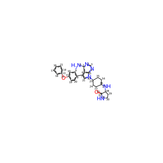 Nc1ncnc2c1c(-c1ccc(Oc3ccccc3)cc1)cn2C1CCC(NC2CCNC2=O)CC1